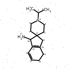 CC(C)N1CCC2(CC1)CC1=C(C=CCC1)C2N